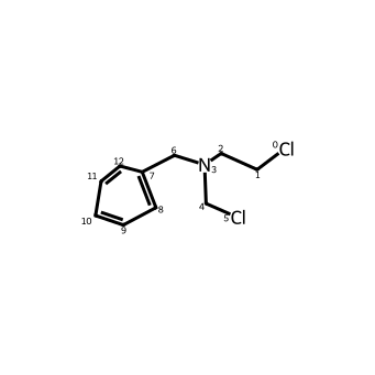 ClCCN(CCl)Cc1ccccc1